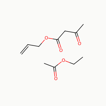 C=CCOC(=O)CC(C)=O.CCOC(C)=O